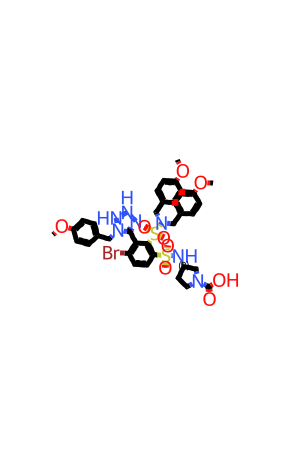 COc1ccc(CN2NNN=C2c2c(Br)ccc(S(=O)(=O)N[C@@H]3CCN(C(=O)O)C3)c2S(=O)(=O)N(Cc2ccc(OC)cc2)Cc2ccc(OC)cc2)cc1